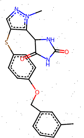 Cc1cccc(COc2ccc(Sc3cnn(C)c3C3NC(=O)NC3=O)cc2)c1